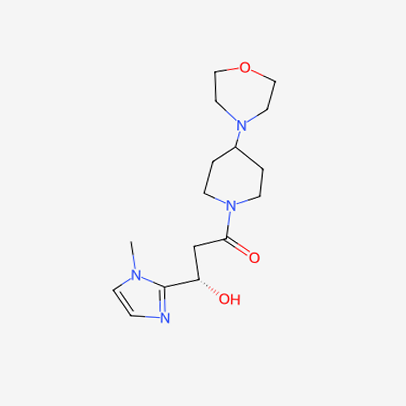 Cn1ccnc1[C@@H](O)CC(=O)N1CCC(N2CCOCC2)CC1